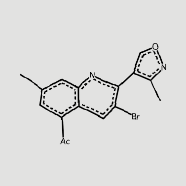 CC(=O)c1cc(C)cc2nc(-c3conc3C)c(Br)cc12